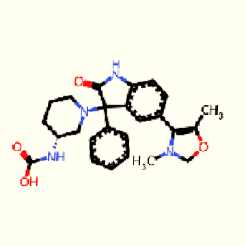 CC1=C(c2ccc3c(c2)C(c2ccccc2)(N2CCC[C@@H](NC(=O)O)C2)C(=O)N3)N(C)CO1